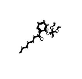 CCCCCCC(=O)c1ccccc1OC(C)(OC)OC